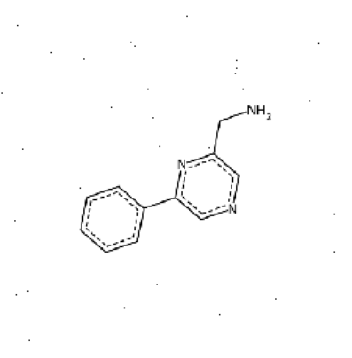 NCc1cncc(-c2ccccc2)n1